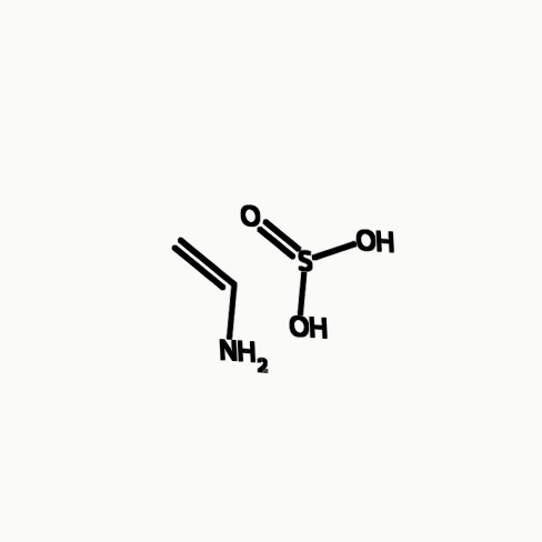 C=CN.O=S(O)O